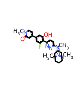 CN(c1ccc(-c2c(O)cc(-c3ccn(C)c(=O)c3)cc2F)nn1)[C@H]1C[C@]2(C)CCC[C@](C)(C1)N2